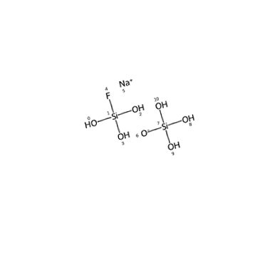 O[Si](O)(O)F.[Na+].[O-][Si](O)(O)O